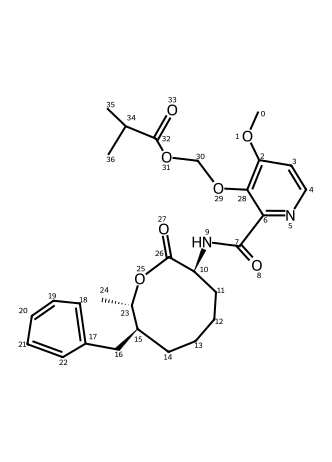 COc1ccnc(C(=O)N[C@H]2CCCC[C@@H](Cc3ccccc3)[C@H](C)OC2=O)c1OCOC(=O)C(C)C